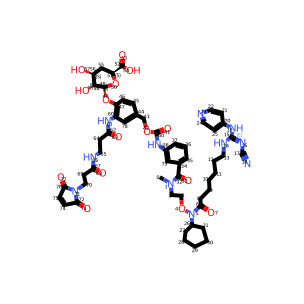 CN(CCON(C(=O)CCCCCCN/C(=N\C#N)Nc1ccncc1)C1CCCCC1)C(=O)c1cccc(NC(=O)OCc2ccc(O[C@@H]3O[C@H](C(=O)O)C[C@H](O)[C@H]3O)c(NC(=O)CCNC(=O)CCN3C(=O)C=CC3=O)c2)c1